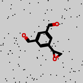 O=Cc1cc(C=O)cc(C2CO2)c1